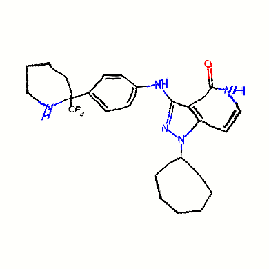 O=c1[nH]ccc2c1c(Nc1ccc(C3(C(F)(F)F)CCCCN3)cc1)nn2C1CCCCCC1